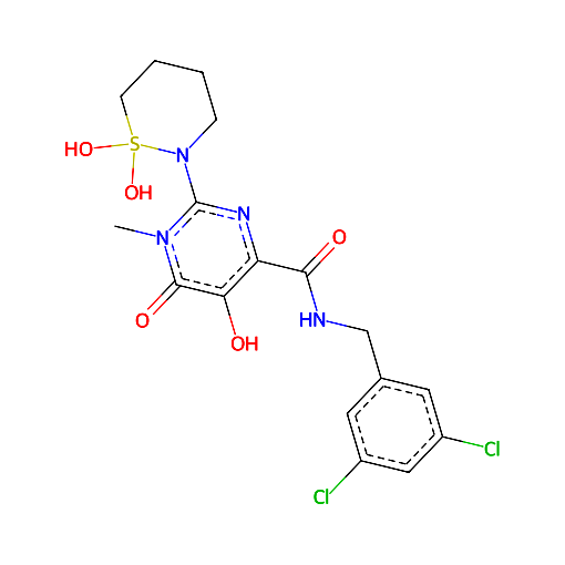 Cn1c(N2CCCCS2(O)O)nc(C(=O)NCc2cc(Cl)cc(Cl)c2)c(O)c1=O